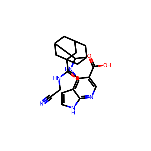 N#CCNC(=O)C12CC3CC(C1)C(Nc1c(C(=O)O)cnc4[nH]ccc14)C(C3)C2